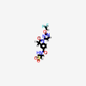 CC1(NC(=O)c2ccc3c(c2)C(C)(C)C(=O)N3c2ccnc(OCC(F)F)n2)CS(=O)(=O)C1